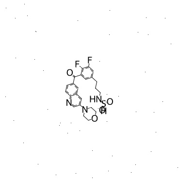 O=C(c1ccc2ncc(N3CCOCC3)cc2c1)c1cc(CCCN[SH](=O)=O)cc(F)c1F